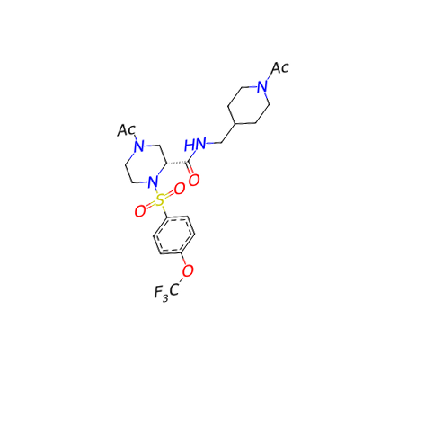 CC(=O)N1CCC(CNC(=O)[C@H]2CN(C(C)=O)CCN2S(=O)(=O)c2ccc(OC(F)(F)F)cc2)CC1